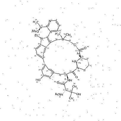 CCn1c(-c2cccnc2[C@H](C)OC)c2c3cc(ccc31)-c1cc(O)cc(c1)C[C@H](NC(=O)[C@@H](NC(C)=O)C(C)(C)O)C(=O)N1CCC[C@H](N1)C(=O)OCC(C)(C)C2